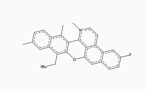 Cc1ccc2c(C)c3c(c(CC(C)(C)C)c2c1)Oc1cc2ccc(F)cc2c2cc[n+](C)c-3c12